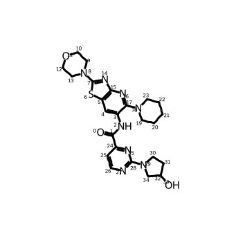 O=C(Nc1cc2sc(N3CCOCC3)nc2nc1N1CCCCC1)c1ccnc(N2CCC(O)C2)n1